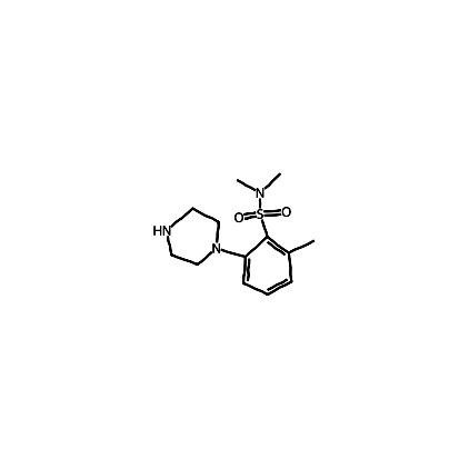 Cc1cccc(N2CCNCC2)c1S(=O)(=O)N(C)C